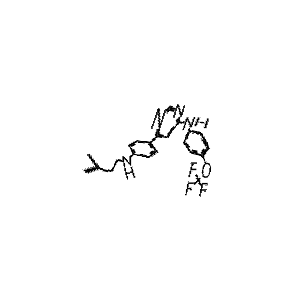 CC(C)CCNc1ccc(-c2cc(Nc3ccc(OC(F)(F)F)cc3)ncn2)cc1